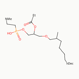 CCCCCCCCCCCCCCC(C)COCC(COP(=O)(O)CCNC)OC(=O)CC